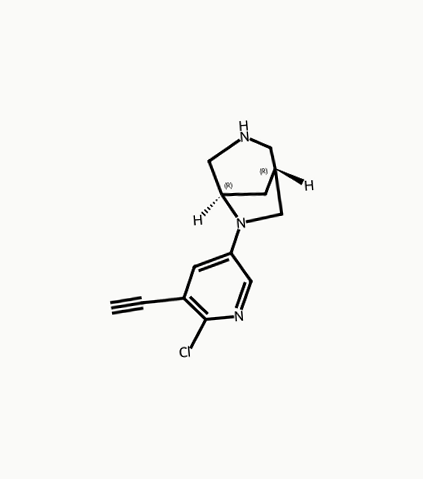 C#Cc1cc(N2C[C@H]3CNC[C@H]2C3)cnc1Cl